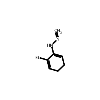 C=NNC1=CCCC=C1CC